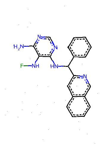 Nc1ncnc(NC(c2ccccc2)c2cc3ccccc3cn2)c1NF